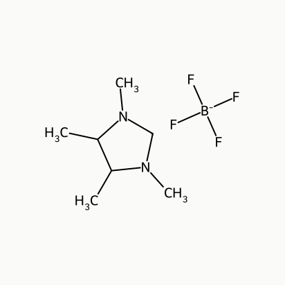 CC1C(C)N(C)CN1C.F[B-](F)(F)F